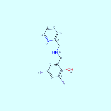 Oc1c(I)cc(I)cc1CNCc1ccccn1